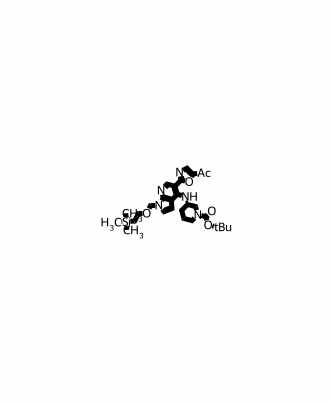 CC(=O)c1cnc(-c2cnc3c(ccn3COCC[Si](C)(C)C)c2N[C@@H]2CCCN(C(=O)OC(C)(C)C)C2)o1